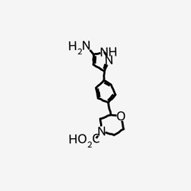 Nc1cc(-c2ccc(C3CN(C(=O)O)CCO3)cc2)n[nH]1